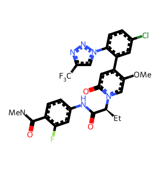 CC[C@@H](C(=O)Nc1ccc(C(=O)NC)c(F)c1)n1cc(OC)c(-c2cc(Cl)ccc2-n2cc(C(F)(F)F)nn2)cc1=O